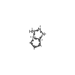 c1cc2nn[nH]n2c1